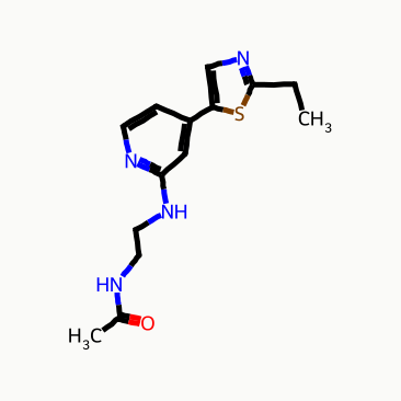 CCc1ncc(-c2ccnc(NCCNC(C)=O)c2)s1